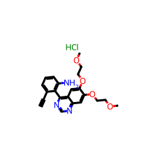 C#Cc1cccc(N)c1-c1ncnc2cc(OCCOC)c(OCCOC)cc12.Cl